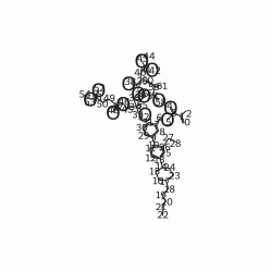 C=C(C)C(=O)OCc1cc(-c2ccc(C3CCC(CCCCC)CC3)cc2CC)ccc1OCC(COC(=O)CCC(=O)OC)(COC(=O)CCC(=O)OC)COC(=O)C(=C)C